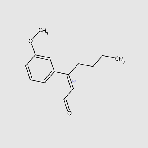 CCCC/C(=C/C=O)c1cccc(OC)c1